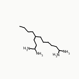 CCCCC(CCCCCC(N)N)CCC(N)N